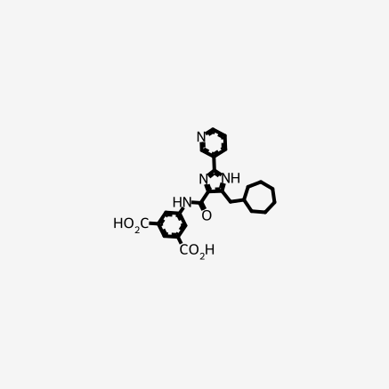 O=C(O)c1cc(NC(=O)c2nc(-c3cccnc3)[nH]c2CC2CCCCCC2)cc(C(=O)O)c1